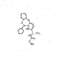 C[C@H](NC(=O)OC(C)(C)C)C(=O)N[C@@H]1C(=O)[N]c2ccccc2O[C@@H]1c1ccccc1